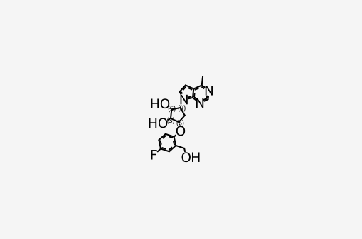 Cc1ncnc2c1ccn2[C@@H]1C[C@H](Oc2ccc(F)cc2CO)[C@@H](O)[C@H]1O